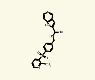 Cc1ncccc1S(=O)(=O)c1ccc(CNC(O)c2cc3cnccc3[nH]2)cc1